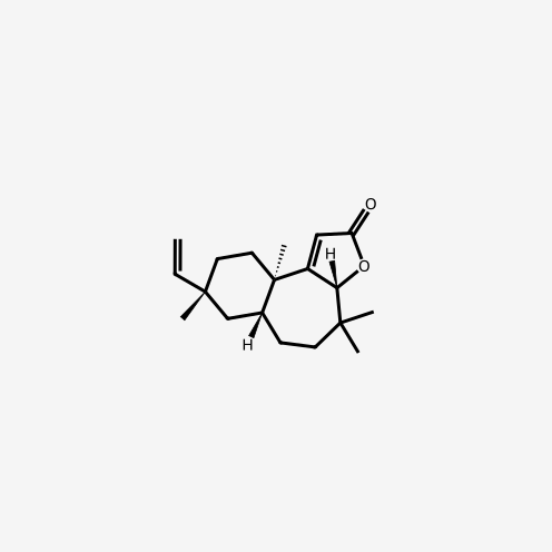 C=C[C@]1(C)CC[C@@]2(C)C3=CC(=O)O[C@@H]3C(C)(C)CC[C@@H]2C1